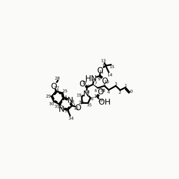 C=CCCCCC[C@H](NC(=O)OC(C)(C)C)C(=O)N1C[C@H](Oc2nc3cc(OC)ccc3nc2C)C[C@H]1C(=O)O